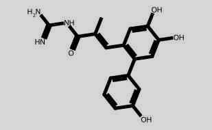 C/C(=C\c1cc(O)c(O)cc1-c1cccc(O)c1)C(=O)NC(=N)N